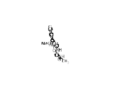 C=CC(=O)NC1CCCN(C(=O)Nc2ccnc(Nc3ccc(N4CCC(N5CCOCC5)CC4)cc3OC)n2)C1